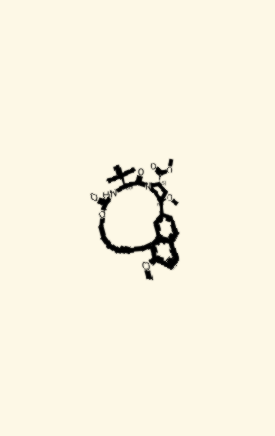 COC(=O)[C@@H]1C[C@]2(OC)CN1C(=O)[C@H](C(C)(C)C)NC(=O)OCCCC=CCc1c(OC)ccc3ccc2cc13